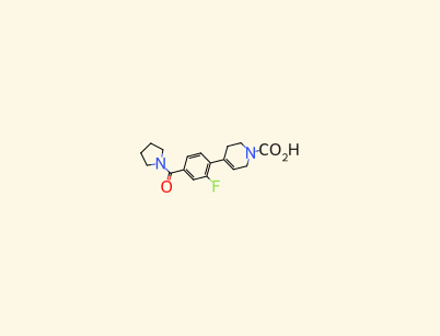 O=C(O)N1CC=C(c2ccc(C(=O)N3CCCC3)cc2F)CC1